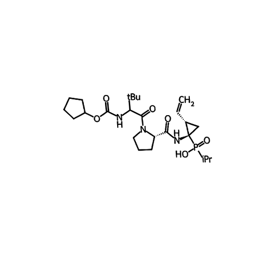 C=C[C@@H]1C[C@]1(NC(=O)[C@@H]1CCCN1C(=O)C(NC(=O)OC1CCCC1)C(C)(C)C)P(=O)(O)C(C)C